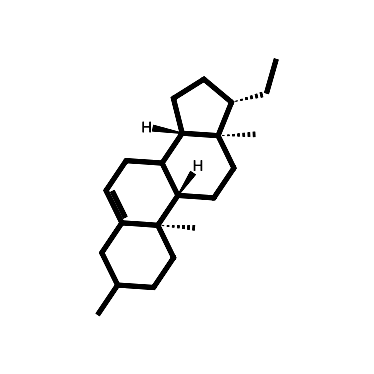 CC[C@H]1CC[C@H]2C3CC=C4CC(C)CC[C@]4(C)[C@H]3CC[C@]12C